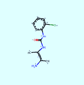 N#C/C(N)=C(/C#N)NC(=O)Nc1ccccc1Cl